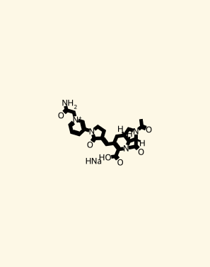 CC(=O)N1C[C@H]2CC(/C=C3\CCN(c4ccc[n+](CC(N)=O)c4)C3=O)=C(C(=O)O)N3C(=O)[C@@H]1[C@@H]23.[NaH]